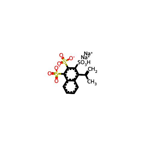 C=C(C)c1c(S(=O)(=O)O)c(S(=O)(=O)[O-])c(S(=O)(=O)[O-])c2ccccc12.[Na+].[Na+]